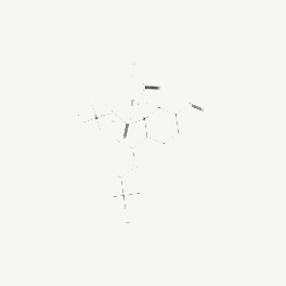 C=CC1CCC(CNCC(F)(F)F)C(NC(C)=O)(C(=O)NC(C)(C)C)C1